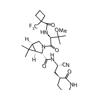 COC(C)(C)[C@H](NC(=O)C1(C(F)(F)F)CCC1)C(=O)N1C[C@H]2[C@@H]([C@H]1C(=O)N[C@H](C#N)C[C@@H]1CCCNC1=O)C2(C)C